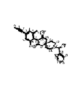 CC#Cc1cc(C)c(C2C(=O)CC3(CCN(C(=O)c4csnn4)CC3)CC2=O)c(C)c1